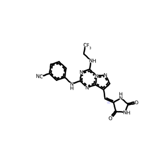 N#Cc1cccc(Nc2nc(NCC(F)(F)F)n3ncc(/C=C4\NC(=O)NC4=O)c3n2)c1